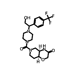 O=C1CO[C@H]2CCN(C(=O)N3CCN(C(CO)c4ccc(C(F)(F)F)cc4)CC3)C[C@H]2N1